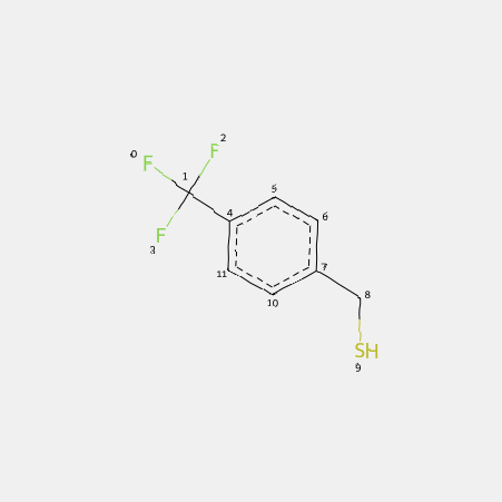 FC(F)(F)c1ccc(CS)cc1